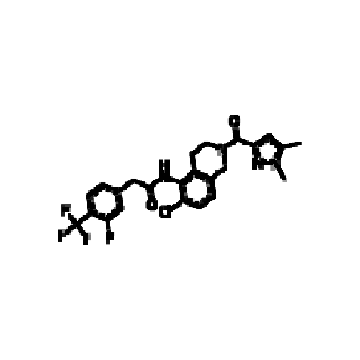 Cc1cc(C(=O)N2CCc3c(ccc(Cl)c3NC(=O)Cc3ccc(C(F)(F)F)c(F)c3)C2)nn1C